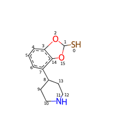 SC1Oc2cccc(C3CCNCC3)c2O1